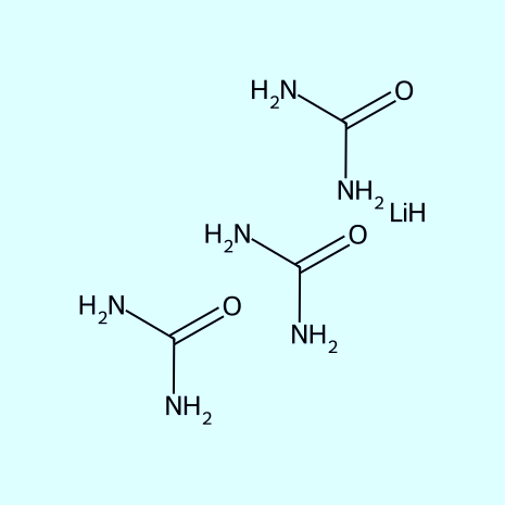 NC(N)=O.NC(N)=O.NC(N)=O.[LiH]